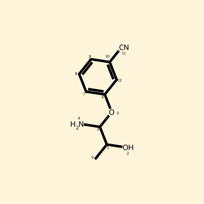 CC(O)C(N)Oc1cccc(C#N)c1